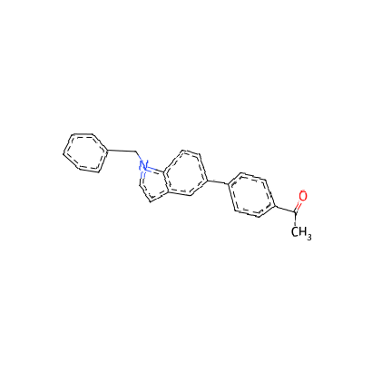 CC(=O)c1ccc(-c2ccc3c(ccn3Cc3ccccc3)c2)cc1